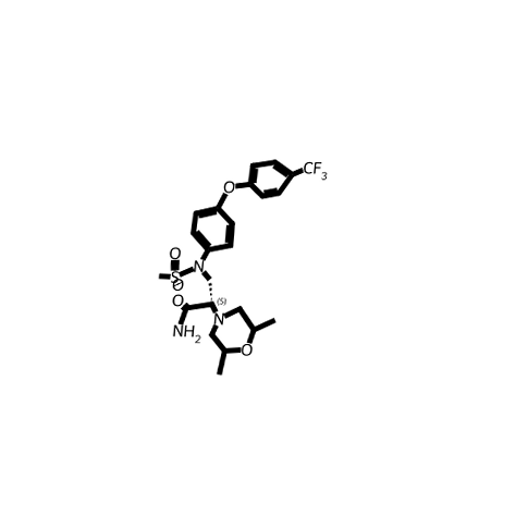 CC1CN([C@@H](CN(c2ccc(Oc3ccc(C(F)(F)F)cc3)cc2)S(C)(=O)=O)C(N)=O)CC(C)O1